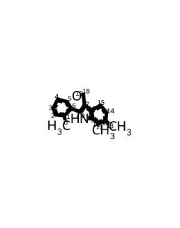 Cc1ccccc1-c1[nH]c2c(C)c(C)ccc2c1C=O